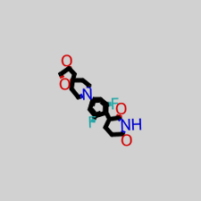 O=C1COC2(CCN(c3cc(F)c(C4CCC(=O)NC4=O)c(F)c3)CC2)C1